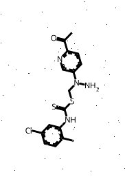 CC(=O)c1ccc(N(N)CSC(=S)Nc2cc(Cl)ccc2C)cn1